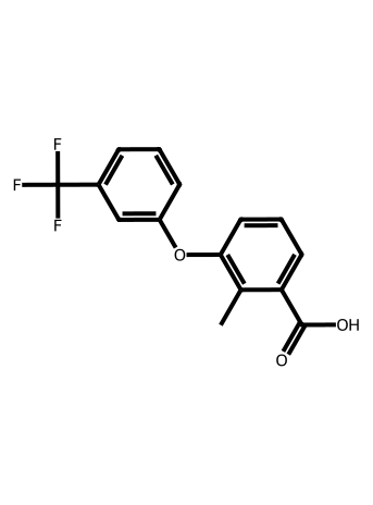 Cc1c(Oc2cccc(C(F)(F)F)c2)cccc1C(=O)O